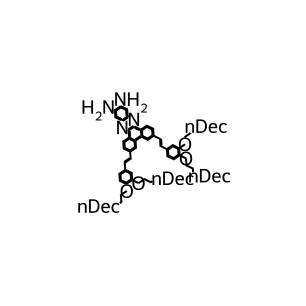 CCCCCCCCCCCCOc1ccc(C=Cc2ccc3c(c2)c2cc(C=Cc4ccc(OCCCCCCCCCCCC)c(OCCCCCCCCCCCC)c4)ccc2c2nc4cc(N)c(N)cc4nc32)cc1OCCCCCCCCCCCC